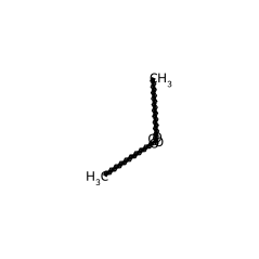 CCCCCCCCCCCCCCCCCCCCOS(=O)(=O)OCCCCCCCCCCCCCCCCCCCC